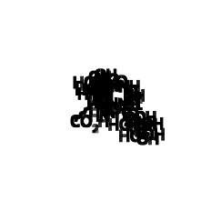 CCC(c1ccccc1)C1NC(=O)CNC(=O)C(CO)NC(=O)C(C(O)C2CN(CCCCCCCCCCC(=O)O)C(=N)N2C2OC(CO)C(O)C(O)C2O)NC(=O)C(C(O)C2CNC(=N)N2)NC(=O)C(Cc2ccc(OC3OC(CO)C(OC4OC(CO)C(O)C(O)C4O)C(O)C3O)cc2)NC1=O